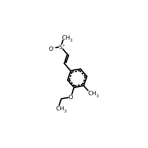 CCOc1cc(C=C[S+](C)[O-])ccc1C